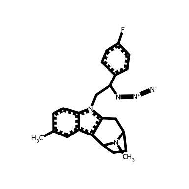 Cc1ccc2c(c1)c1c(n2CC(N=[N+]=[N-])c2ccc(F)cc2)CC2CCC1N2C